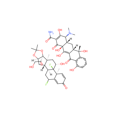 CC1(C)O[C@@H]2C[C@H]3[C@@H]4C[C@H](F)C5=CC(=O)C=C[C@]5(C)[C@@]4(F)[C@@H](O)C[C@]3(C)[C@]2(C(=O)CO)O1.CN(C)[C@@H]1C(O)=C(C(N)=O)C(=O)[C@@]2(O)C(O)=C3C(=O)c4c(O)cccc4[C@@](C)(O)[C@H]3C[C@@H]12